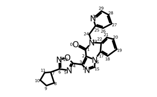 O=c1c2c(-c3nc(C4CCCC4)no3)ncn2c2ccccc2n1Cc1ccccn1